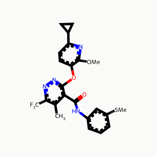 COc1nc(C2CC2)ccc1Oc1nnc(C(F)(F)F)c(C)c1C(=O)Nc1cccc(SC)c1